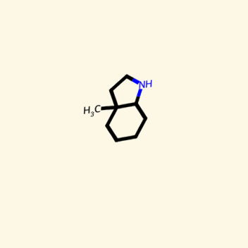 CC12CCCCC1NCC2